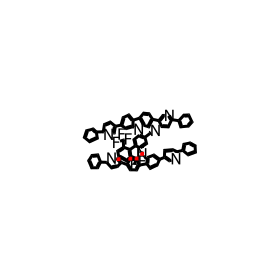 N#Cc1cc(-n2c3cc(-c4ccc(-c5ccccc5)nc4)ccc3c3ccc(-c4ccc(-c5ccccc5)nc4)cc32)c(-c2c(C(F)(F)F)cccc2C(F)(F)F)cc1-n1c2cc(-c3ccc(-c4ccccc4)nc3)ccc2c2ccc(-c3ccc(-c4ccccc4)nc3)cc21